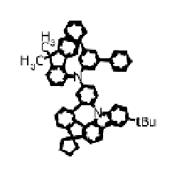 CC(C)(C)c1ccc2c(c1)c1ccc3c4c1n2-c1ccc(N(c2cc(-c5ccccc5)cc(-c5ccccc5)c2)c2cccc5c2-c2ccccc2C5(C)C)cc1-c1cccc(c1-4)C31CCCC1